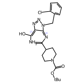 C=C(/N=C1\C(=C(/N)O)N=NN1Cc1ccccc1Cl)C1CCN(C(=O)OC(C)(C)C)CC1